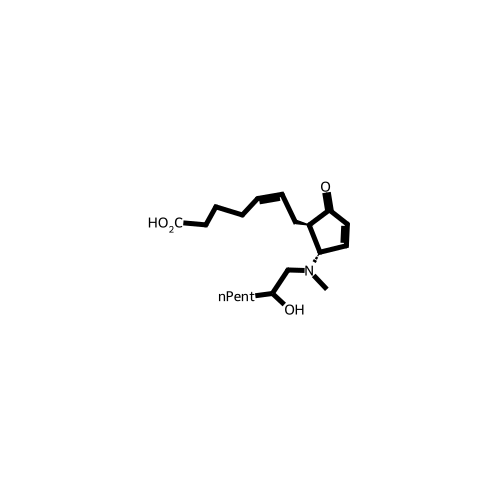 CCCCCC(O)CN(C)[C@H]1C=CC(=O)[C@@H]1C/C=C\CCCC(=O)O